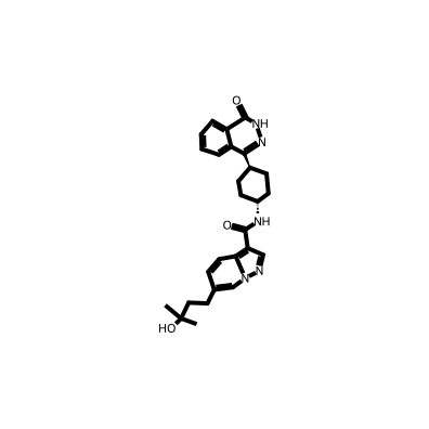 CC(C)(O)CCc1ccc2c(C(=O)N[C@H]3CC[C@H](c4n[nH]c(=O)c5ccccc54)CC3)cnn2c1